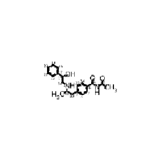 CC(=O)NC(=O)c1ccc(CC(C)NC[C@H](O)c2ccccc2)cc1